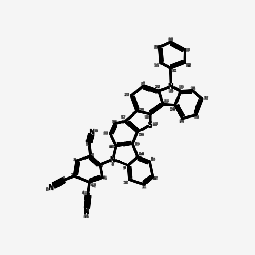 N#Cc1cc(C#N)c(-n2c3ccccc3c3c4sc5c(ccc6c5c5ccccc5n6-c5ccccc5)c4ccc32)cc1C#N